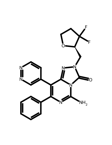 Nc1nc(-c2ccccc2)c(-c2ccnnc2)c2nn(C[C@H]3OCCC3(F)F)c(=O)n12